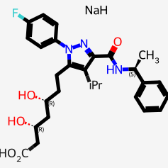 CC(C)c1c(C(=O)N[C@@H](C)c2ccccc2)nn(-c2ccc(F)cc2)c1CC[C@@H](O)C[C@@H](O)CC(=O)O.[NaH]